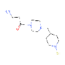 NCCC(=O)N1CCN(CC2CCN(S)CC2)CC1